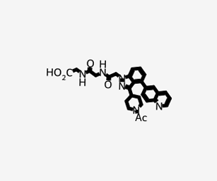 CC(=O)N1CCC(c2nn(CC(=O)NCC(=O)NCC(=O)O)c3cccc(-c4ccc5ncccc5c4)c23)CC1